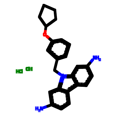 Cl.Cl.Nc1ccc2c3ccc(N)cc3n(Cc3cccc(OC4CCCC4)c3)c2c1